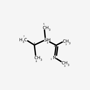 C/N=C(\C)[SiH](C)C(C)C